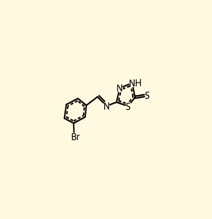 S=c1[nH]nc(N=Cc2cccc(Br)c2)s1